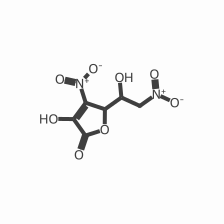 O=C1OC(C(O)C[N+](=O)[O-])C([N+](=O)[O-])=C1O